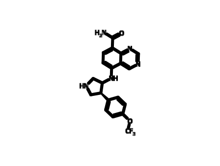 NC(=O)c1ccc(NC2CNC[C@@H]2c2ccc(OC(F)(F)F)cc2)c2cncnc12